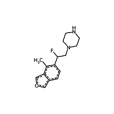 Cc1c(C(F)CN2CCNCC2)ccc2cocc12